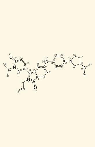 C=CCn1c(=O)c2cnc(Nc3ccc(N4CC[C@@H](N(C)C)C4)cc3)nc2n1-c1ccc(=O)n(C(C)C)n1